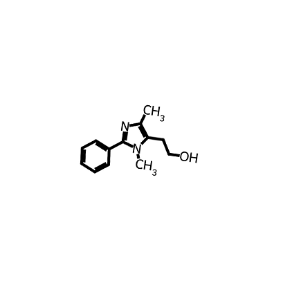 Cc1nc(-c2ccccc2)n(C)c1CCO